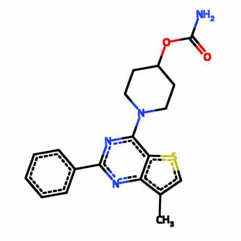 Cc1csc2c(N3CCC(OC(N)=O)CC3)nc(-c3ccccc3)nc12